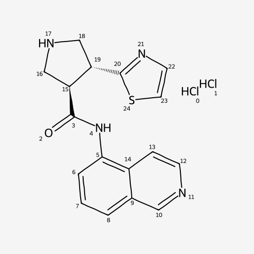 Cl.Cl.O=C(Nc1cccc2cnccc12)[C@H]1CNC[C@@H]1c1nccs1